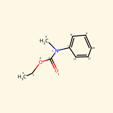 [CH2]N(C(=O)OCC)c1ccccc1